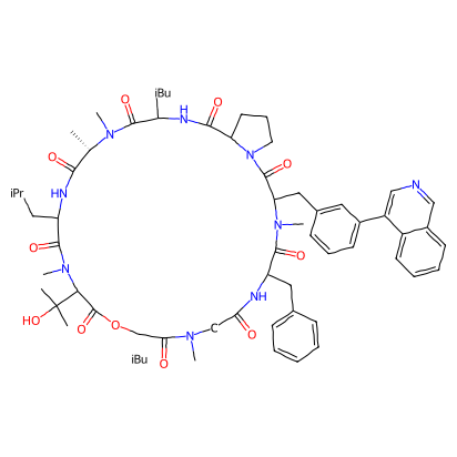 CCC(C)C1NC(=O)C2CCCN2C(=O)C(Cc2cccc(-c3cncc4ccccc34)c2)N(C)C(=O)C(Cc2ccccc2)NC(=O)CN(C)C(=O)C([C@H](C)CC)OC(=O)C(C(C)(C)O)N(C)C(=O)C(CC(C)C)NC(=O)[C@H](C)N(C)C1=O